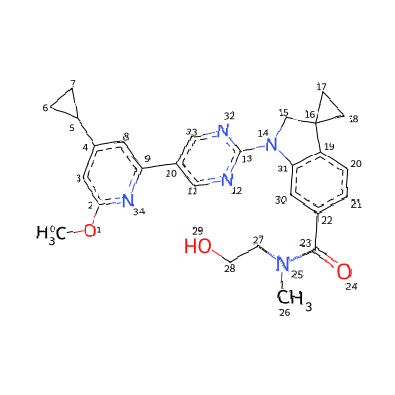 COc1cc(C2CC2)cc(-c2cnc(N3CC4(CC4)c4ccc(C(=O)N(C)CCO)cc43)nc2)n1